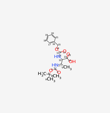 CC(NC(=O)OC(C)(C)C)C(NC(=O)OCc1ccccc1)C(=O)O